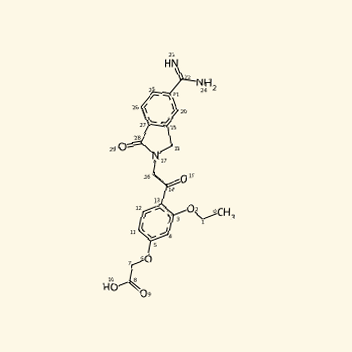 CCOc1cc(OCC(=O)O)ccc1C(=O)CN1Cc2cc(C(=N)N)ccc2C1=O